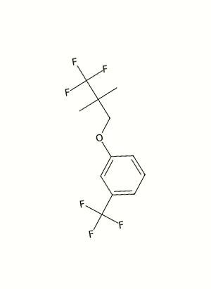 CC(C)(COc1cccc(C(F)(F)F)c1)C(F)(F)F